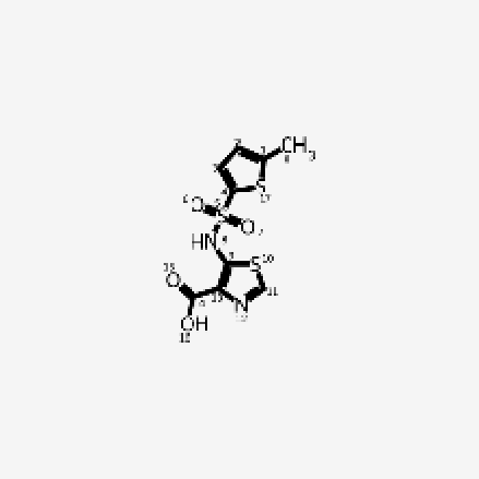 Cc1ccc(S(=O)(=O)Nc2scnc2C(=O)O)s1